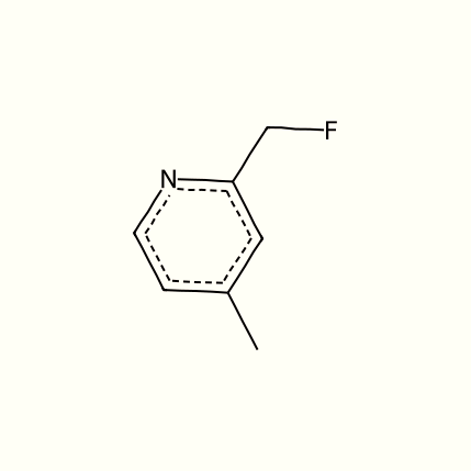 Cc1ccnc(CF)c1